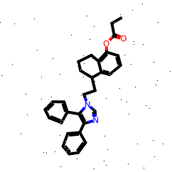 CCC(=O)Oc1cccc2c1CCCC2CCn1cnc(-c2ccccc2)c1-c1ccccc1